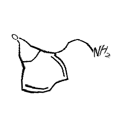 NCC1=CC=CC2OC12